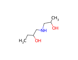 CCC(O)CNCC(C)O